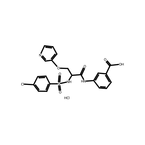 Cl.O=C(O)c1cccc(NC(=O)C(COc2cccnc2)NS(=O)(=O)c2ccc(Cl)cc2)c1